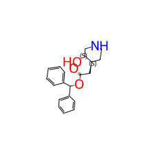 O=C(C[C@@H]1CCNC[C@H]1O)OC(c1ccccc1)c1ccccc1